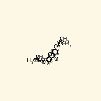 CN(C)CCOc1ccc2c(=O)c3ccc(OCCN(C)C)cc3oc2c1